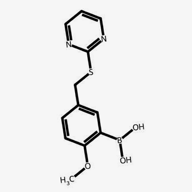 COc1ccc(CSc2ncccn2)cc1B(O)O